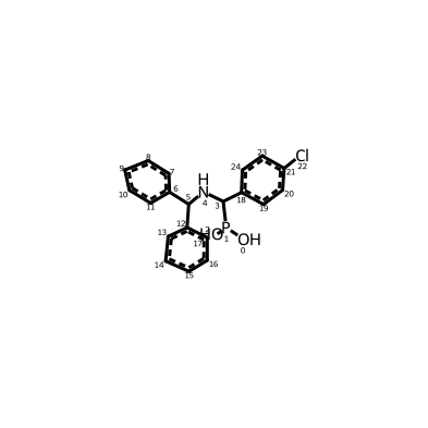 OP(O)C(NC(c1ccccc1)c1ccccc1)c1ccc(Cl)cc1